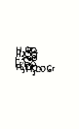 C=O.C=O.C=O.C=O.C=O.C=O.[Cr]